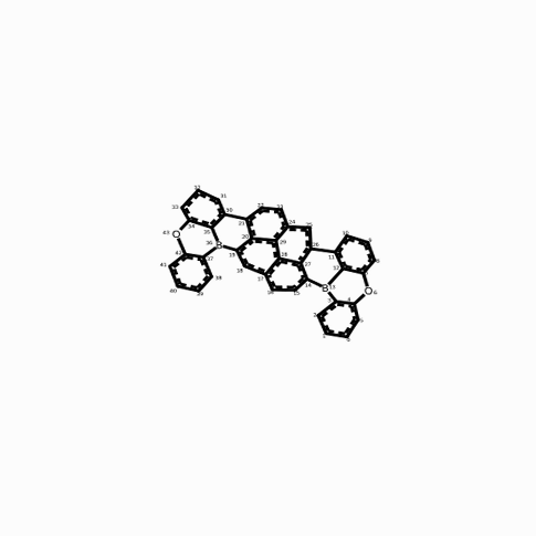 c1ccc2c(c1)Oc1cccc3c1B2c1ccc2cc4c5c(ccc6cc-3c1c2c65)-c1cccc2c1B4c1ccccc1O2